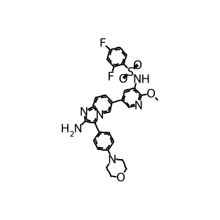 COc1ncc(-c2ccc3nc(N)c(-c4ccc(N5CCOCC5)cc4)n3c2)cc1NS(=O)(=O)c1ccc(F)cc1F